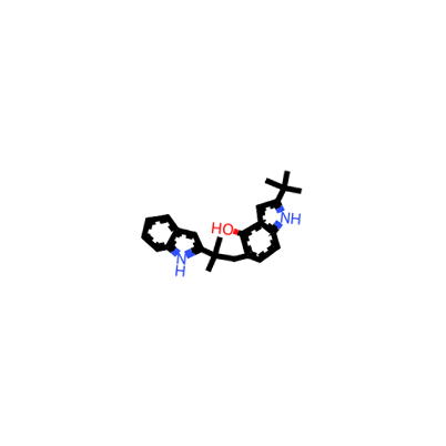 CC(C)(C)c1cc2c(O)c(CC(C)(C)c3cc4ccccc4[nH]3)ccc2[nH]1